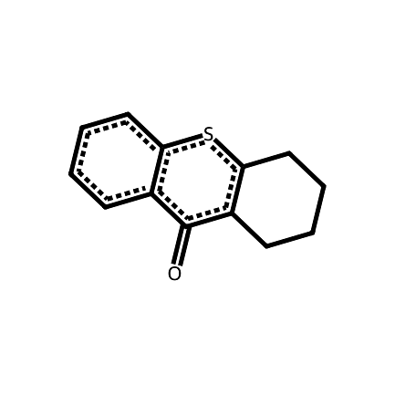 O=c1c2c(sc3ccccc13)CCCC2